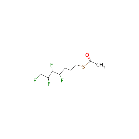 CC(=O)SCCCC(F)C(F)C(F)CF